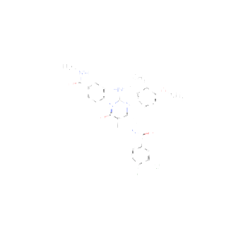 CNC(=O)c1ccc(-n2c(NC(C)c3cccc(OC)c3)nc3c(c2=O)CCN(C(=O)c2ccc(Cl)c(Cl)c2)C3)cc1